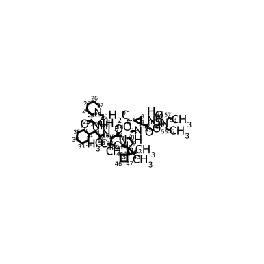 C=C[C@@H]1C[C@]1(NC(=O)[C@@H]1C[C@@]2(CN1C(=O)[C@@H](NC(=O)[C@@H](NC(=O)[C@@H]1CCCCN1CC)C1CCCCC1)C(C)(C)C)C(C)(C)C21CCC1)C(=O)NS(=O)(=O)N(CC)CC